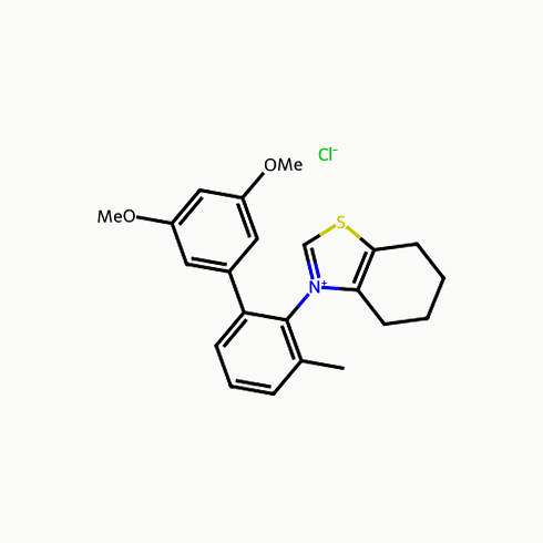 COc1cc(OC)cc(-c2cccc(C)c2-[n+]2csc3c2CCCC3)c1.[Cl-]